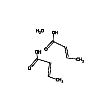 CC=CC(=O)O.CC=CC(=O)O.O